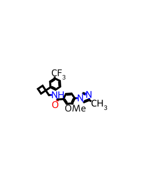 COc1cc(C(=O)NCC2(c3cccc(C(F)(F)F)c3)CCC2)ccc1-n1cnc(C)c1